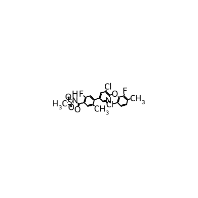 Cc1cc(C(=O)NS(C)(=O)=O)c(F)cc1-c1cnc(Oc2c(Cl)ccc(C)c2F)c(Cl)c1